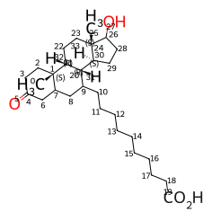 C[C@]12CCC(=O)CC1CC(CCCCCCCCCC(=O)O)[C@@H]1[C@H]2CC[C@]2(C)C(O)CC[C@@H]12